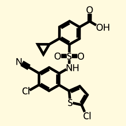 N#Cc1cc(NS(=O)(=O)c2cc(C(=O)O)ccc2C2CC2)c(-c2ccc(Cl)s2)cc1Cl